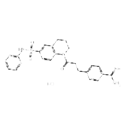 Cl.N=C(N)c1ccc(CCC(=O)N2CCCc3cc(S(=O)(=O)Nc4ccccc4)ccc32)cc1